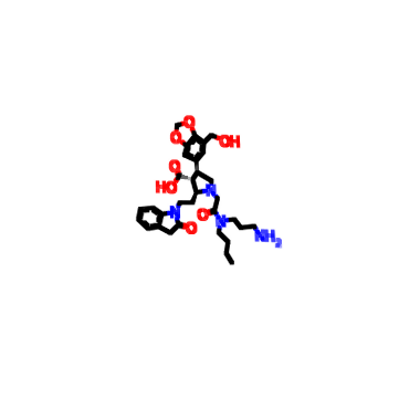 CCCCN(CCCN)C(=O)CN1C[C@H](c2cc(CO)c3c(c2)OCO3)[C@@H](C(=O)O)[C@@H]1CCN1C(=O)Cc2ccccc21